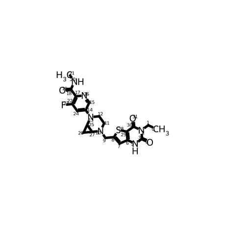 CCn1c(=O)[nH]c2cc(CN3CCN(c4cnc(C(=O)NC)c(F)c4)C4CC43)sc2c1=O